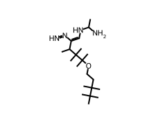 CC(N)N/C=C(\N=N)C(C)C(C)(C)C(C)(C)OCCC(C)(C)C(C)(C)C